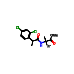 COC(=O)C(C)(NC(=O)C(C)c1ccc(Cl)cc1Cl)C(C)C